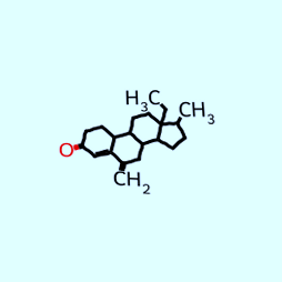 C=C1CC2C(CCC3(CC)C(C)CCC23)C2CCC(=O)C=C12